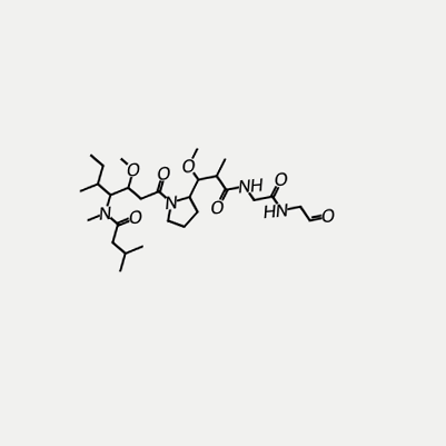 CCC(C)C(C(CC(=O)N1CCCC1C(OC)C(C)C(=O)NCC(=O)NCC=O)OC)N(C)C(=O)CC(C)C